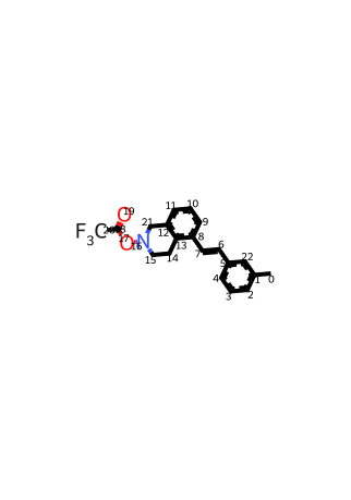 Cc1cccc(C=Cc2cccc3c2CCN(OC(=O)C(F)(F)F)C3)c1